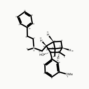 COc1cccc([C@]2(O)[C@H](C)[C@H]3C[C@@H]([C@H]2CN(C)CCc2ccccc2)C3(C)C)c1